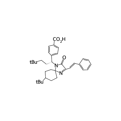 CC(C)(C)CC[C@H](c1ccc(C(=O)O)cc1)N1C(=O)C(/C=C/c2ccccc2)=NC12CCC(C(C)(C)C)CC2